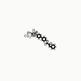 CC(C)[C@@H](NS(=O)(=O)c1ccc(-c2ccc(OC(=O)c3cc4ccccc4o3)cc2)cc1)C(=O)O